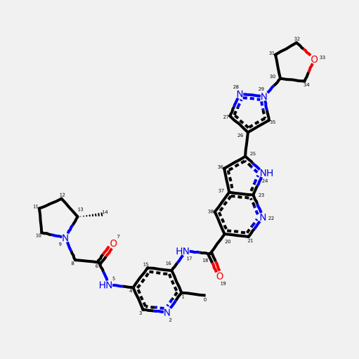 Cc1ncc(NC(=O)CN2CCC[C@@H]2C)cc1NC(=O)c1cnc2[nH]c(-c3cnn(C4CCOC4)c3)cc2c1